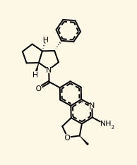 C[C@H]1OCc2c1c(N)nc1ccc(C(=O)N3C[C@@H](c4ccccc4)[C@@H]4CCC[C@H]43)cc21